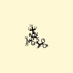 COC(=O)C(C)CSc1nc(C(C)(C)C)nn1C(=O)N(C)C